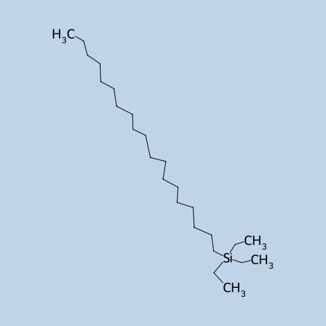 CCCCCCCCCCCCCCCCCCC[Si](CC)(CC)CC